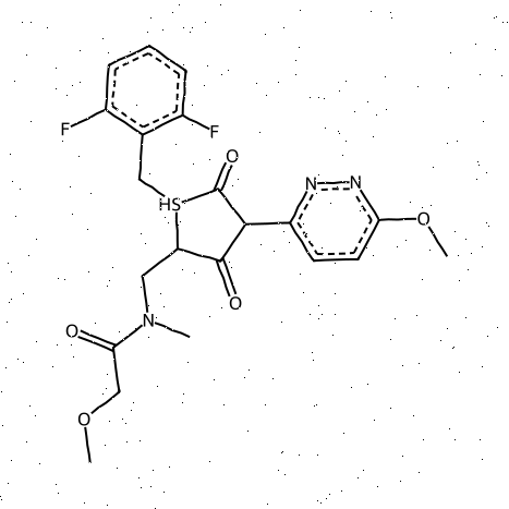 COCC(=O)N(C)CC1C(=O)C(c2ccc(OC)nn2)C(=O)[SH]1Cc1c(F)cccc1F